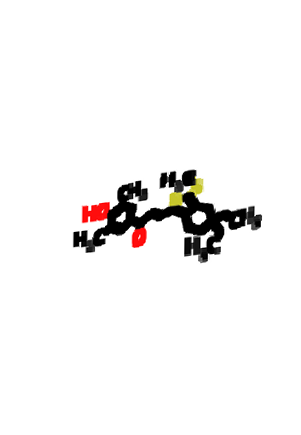 CCC1(CC)CCc2c(C=CC(=O)c3cc(C)c(O)c(C)c3)sc(SC)c2C1